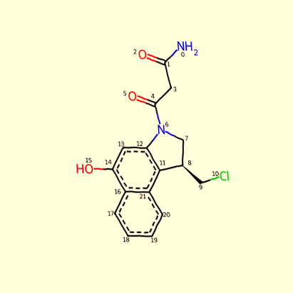 NC(=O)CC(=O)N1C[C@@H](CCl)c2c1cc(O)c1ccccc21